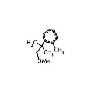 COCC(C)(C)c1c[c]ccc1C